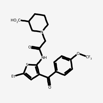 CCc1cc(C(=O)c2ccc(OC(F)(F)F)cc2)c(NC(=O)CN2CCCC(C(=O)O)C2)s1